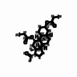 CC(=O)[C@H]1CC[C@H]2[C@@H]3CC[C@H]4C[C@H](OC(=O)CI)CC[C@]4(C)[C@H]3[C@@H](OC(=O)CI)C[C@]12C